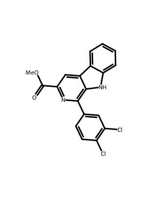 COC(=O)c1cc2c([nH]c3ccccc32)c(-c2ccc(Cl)c(Cl)c2)n1